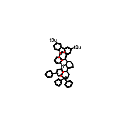 CC(C)(C)c1ccc2c(c1)c1cc(C(C)(C)C)ccc1n2-c1cccc(N(c2cc(-c3ccccc3)cc(C(Cl)(c3ccccc3)c3ccccc3)c2)C2C(C3CC=CCC3)=CCCC2C2=CCCCC2)c1